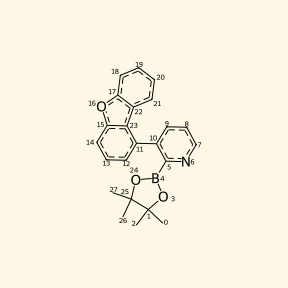 CC1(C)OB(c2ncccc2-c2cccc3oc4ccccc4c23)OC1(C)C